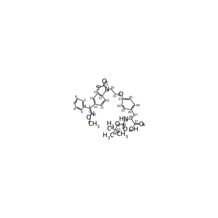 CO/N=C(\c1ccccc1)c1ccc2c(c1)sc(=O)n2CCOc1ccc(CC(NC(=O)OC(C)(C)C)C(=O)O)cc1